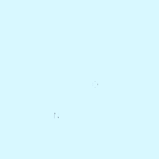 CC(C)c1cccc2oc3cc(C#N)ccc3c12